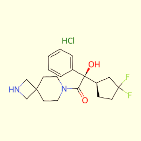 Cl.O=C(N1CCC2(CC1)CNC2)[C@](O)(c1ccccc1)[C@@H]1CCC(F)(F)C1